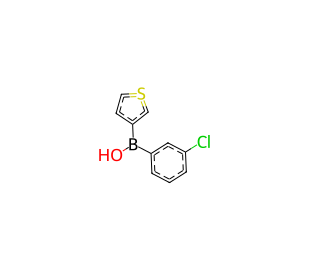 OB(c1ccsc1)c1cccc(Cl)c1